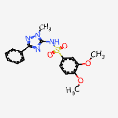 COc1ccc(S(=O)(=O)Nc2nc(-c3ccccc3)nn2C)cc1OC